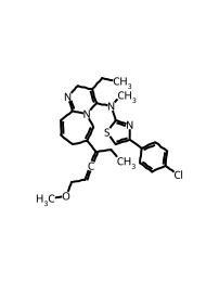 CCC(=C=CCOC)C1=CN2C(=NCC(CC)=C2N(C)c2nc(-c3ccc(Cl)cc3)cs2)C=CC1